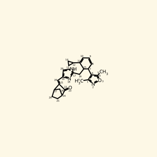 Cc1noc(C)c1C1C=CC=C(C2CC2)C1Cc1nc(/C=C2\C(=O)C3CCC2C3)c[nH]1